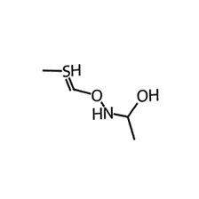 C/[SH]=C/ONC(C)O